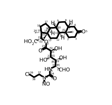 C[C@]12CCC(=O)C[C@H]1CC[C@@H]1[C@@H]2CC[C@@]2(C)[C@H]1CC[C@]2(C)[C@H](OC(=O)[C@@H](O)[C@@H](O)[C@H](O)[C@H](C=O)NC(=O)N(CCCl)N=O)C(=O)O